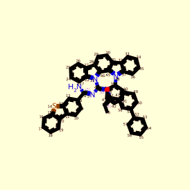 C/C=C(/N=C(\N=C(/N)c1ccc2c(c1)sc1ccccc12)n1c2ccccc2c2ccc3c4ccccc4n(-c4ccccc4)c3c21)c1cccc(-c2ccccc2)c1